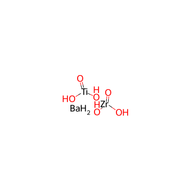 [BaH2].[O]=[Ti]([OH])[OH].[O]=[Zr]([OH])[OH]